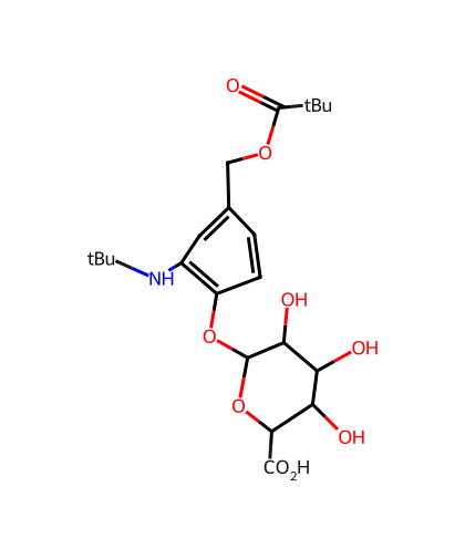 CC(C)(C)Nc1cc(COC(=O)C(C)(C)C)ccc1OC1OC(C(=O)O)C(O)C(O)C1O